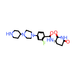 O=C1CC[C@H](NC(=O)c2ccc(N3CCN(C4CCNCC4)CC3)cc2F)C(=O)N1